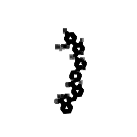 COc1cc(F)ccc1-c1cc(Nc2cc(N3CCN(C(=O)c4cc(Cc5n[nH]c(=O)c6ccccc56)ccc4F)CC3)ncn2)ncc1F